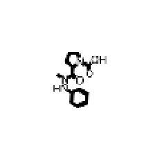 CN(Nc1ccccc1)C(=O)C1CCCN1C(=O)O